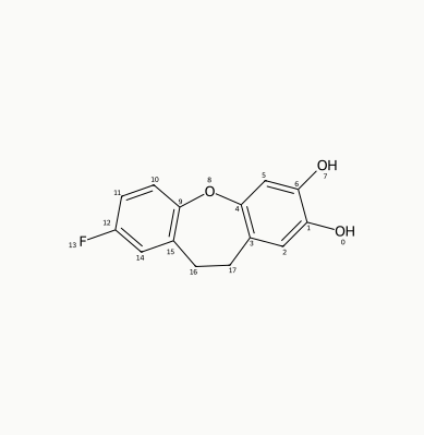 Oc1cc2c(cc1O)Oc1ccc(F)cc1CC2